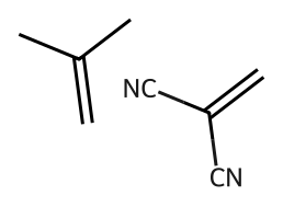 C=C(C#N)C#N.C=C(C)C